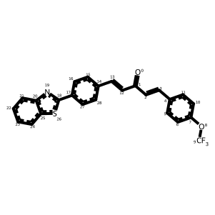 O=C(C=Cc1ccc(OC(F)(F)F)cc1)C=Cc1ccc(-c2nc3ccccc3s2)cc1